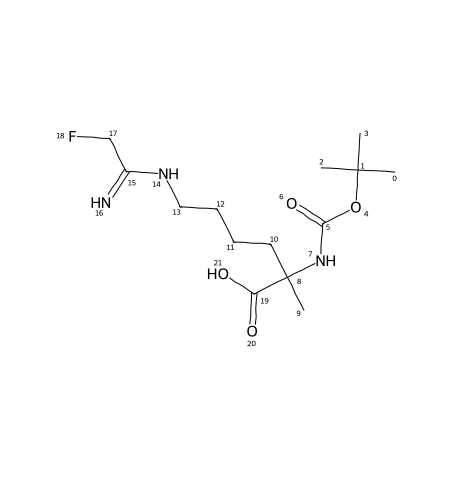 CC(C)(C)OC(=O)NC(C)(CCCCNC(=N)CF)C(=O)O